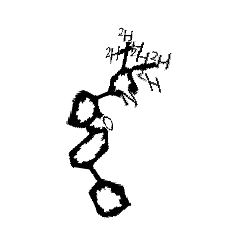 [2H]C([2H])([2H])c1cnc(-c2cccc3c2oc2cc(-c4ccccc4)ccc23)cc1C([2H])([2H])[2H]